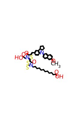 COc1ccc2cc(N3c4ccc(/C=c5\s/c(=C6/SC(=S)N(CCCCCCCCCCCC(=O)O)C6=O)n(CC(=O)O)c5=O)cc4C4CCCC43)ccc2c1